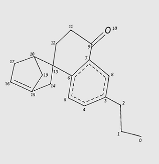 CCCc1ccc2c(c1)C(=O)CCC21CC2=CCC1C2